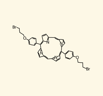 BrCCCOc1ccc(C2=C3C=CC(=N3)C=C3C=CC(=N3)C(c3ccc(OCCCBr)cc3)=C3C=CC(=N3)C=C3C=CC2=N3)cc1